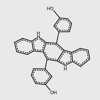 Oc1cccc(-c2c3[nH]c4ccccc4c3c(-c3cccc(O)c3)c3[nH]c4ccccc4c23)c1